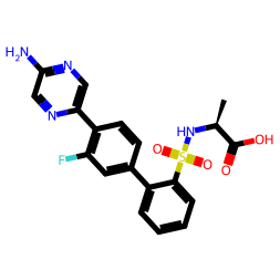 C[C@H](NS(=O)(=O)c1ccccc1-c1ccc(-c2cnc(N)cn2)c(F)c1)C(=O)O